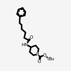 CC(C)(C)OC(=O)N1CCC(NC(=O)CCCCCc2ccccc2)CC1